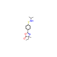 CCC1(C)N=C(c2ccc(SNC(C)C)cc2)OC1=O